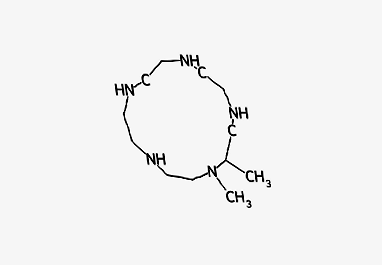 CC1CNCCNCCNCCNCCN1C